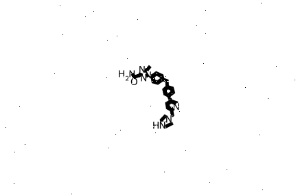 Cc1nc(C(N)=O)nn1-c1ccc(Cc2ccc(-c3ccc(CN4CCNCC4)nc3)cc2)cc1